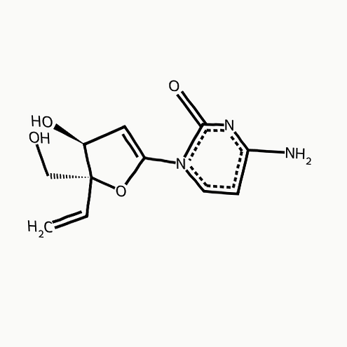 C=C[C@]1(CO)OC(n2ccc(N)nc2=O)=C[C@@H]1O